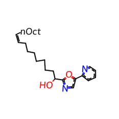 CCCCCCCC/C=C\CCCCCCCC(O)c1ncc(-c2ccccn2)o1